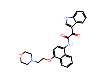 O=C(Nc1ccc(OCCN2CCOCC2)c2ccccc12)C(=O)c1c[nH]c2ccccc12